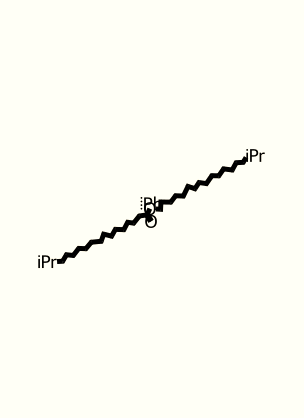 CC(C)CCCCCCCCCCCCCCCOC(=O)CCCCCCCCCCCCCCC(C)C.[Pb]